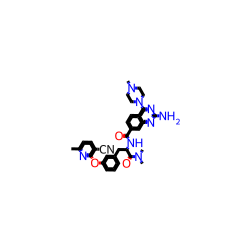 Cc1ccc(C#N)c(Oc2cccc(CC(NC(=O)c3ccc4c(N5CCN(C)CC5)nc(N)nc4c3)C(=O)N(C)C)c2)n1